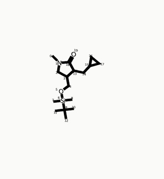 CN1CC(CO[Si](C)(C)C(C)(C)C)C(CC2CC2)C1=O